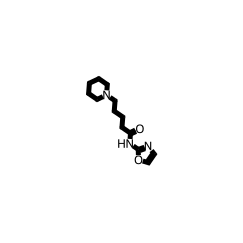 O=C(CCCCN1CCCCC1)Nc1ncco1